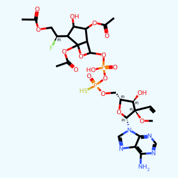 C=C[C@@]1(OC)[C@H](O)[C@@H](COP(=O)(S)OP(=O)(O)OC2OC3(OC(C)=O)C2C(OC(C)=O)C(O)C3[C@@H](F)COC(C)=O)O[C@H]1n1cnc2c(N)ncnc21